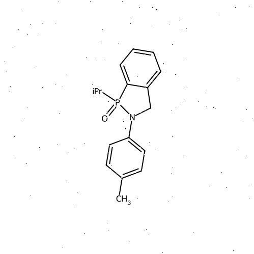 Cc1ccc(N2Cc3ccccc3P2(=O)C(C)C)cc1